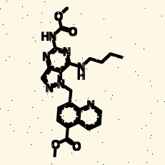 CCCCNc1nc(NC(=O)OC)nc2cnn(Cc3ccc(C(=O)OC)c4cccnc34)c12